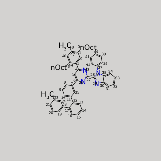 CCCCCCCCc1cc(-c2cc(-c3cccc(-c4ccccc4-c4cccc(C)c4)c3)nc(-c3nc4ccccc4n3-c3ccccc3)n2)c(CCCCCCCC)cc1C